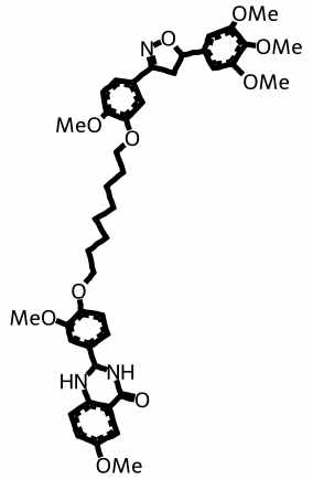 COc1ccc2c(c1)C(=O)NC(c1ccc(OCCCCCCCCOc3cc(C4=NOC(c5cc(OC)c(OC)c(OC)c5)C4)ccc3OC)c(OC)c1)N2